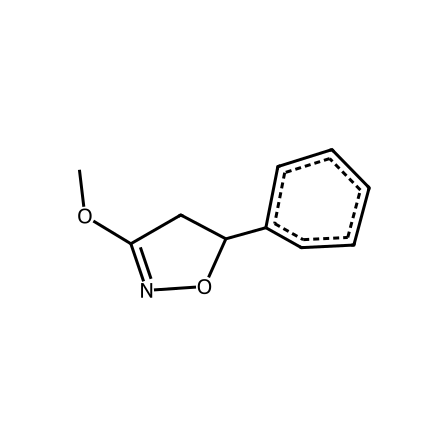 COC1=NOC(c2ccccc2)C1